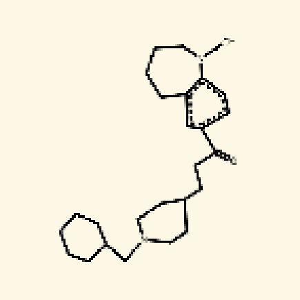 CN1CCCCc2cc(C(=O)CCC3CCN(CC4CCCCC4)CC3)ccc21